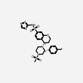 CS(=O)(=O)N1CCN([C@H]2CCOc3cc(S(=O)(=O)Nc4ncns4)ccc32)[C@H](c2ccc(F)cc2)C1